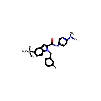 CN(C)c1ccc(NC(=O)c2cc3cc([Si](C)(C)C)ccc3n2Cc2cccc(F)c2)cn1